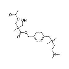 CC(=O)OCC(C)(CO)C(=O)OCc1ccc(C[N+](C)(C)CCN(C)C)cc1